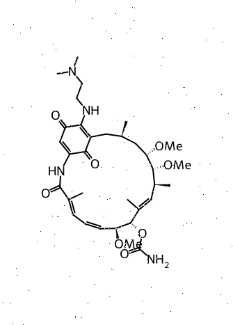 CO[C@H]1[C@@H](OC)C[C@H](C)CC2=C(NCCN(C)C)C(=O)C=C(NC(=O)/C(C)=C/C=C\[C@H](OC)[C@@H](OC(N)=O)/C(C)=C/[C@@H]1C)C2=O